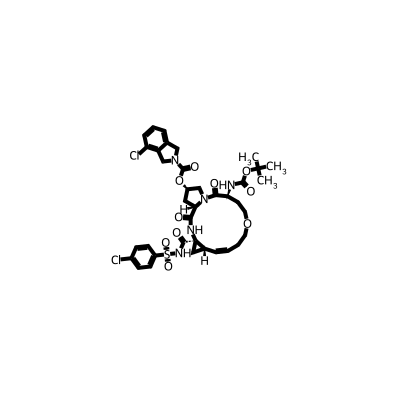 CC(C)(C)OC(=O)N[C@H]1CCOCC/C=C\[C@@H]2C[C@@]2(C(=O)NS(=O)(=O)c2ccc(Cl)cc2)NC(=O)[C@@H]2C[C@@H](OC(=O)N3Cc4cccc(Cl)c4C3)CN2C1=O